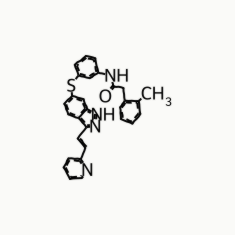 Cc1ccccc1CC(=O)Nc1cccc(Sc2ccc3c(/C=C/c4ccccn4)n[nH]c3c2)c1